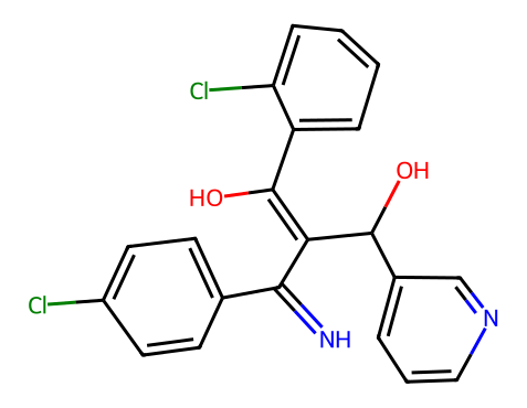 N=C(/C(=C(\O)c1ccccc1Cl)C(O)c1cccnc1)c1ccc(Cl)cc1